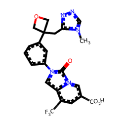 Cn1cnnc1CC1(c2cccc(-n3cc4c(C(F)(F)F)cc(C(=O)O)cn4c3=O)c2)COC1